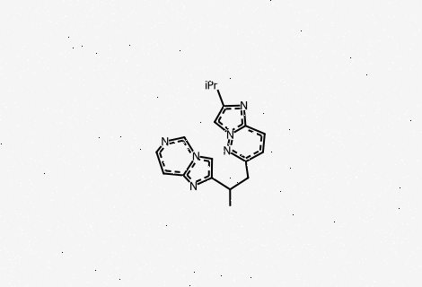 CC(C)c1cn2nc(CC(C)c3cn4cnccc4n3)ccc2n1